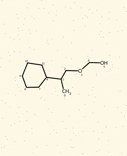 CC(COCO)C1CCCCC1